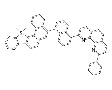 C[Si]1(C)c2ccccc2-c2ccc3cc(-c4cccc5c(-c6ccc7ccc8ccc(-c9ccccc9)nc8c7n6)cccc45)c4ccccc4c3c21